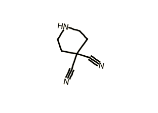 N#CC1(C#N)CCNCC1